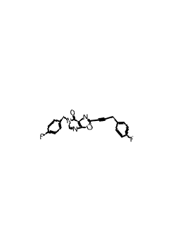 O=c1c2nc(C#CCc3ccc(F)cc3)oc2ncn1Cc1ccc(F)cc1